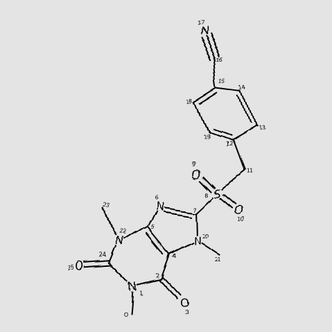 Cn1c(=O)c2c(nc(S(=O)(=O)Cc3ccc(C#N)cc3)n2C)n(C)c1=O